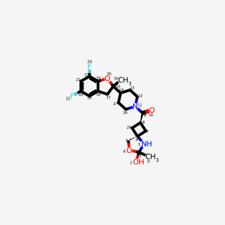 CC1(O)N[C@]2(CO1)C[C@H](C(=O)N1CCC(C3(C)Cc4cc(F)cc(F)c4O3)CC1)C2